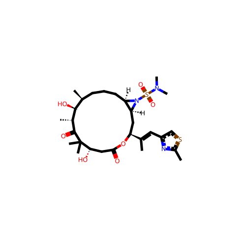 CC(=Cc1csc(C)n1)[C@@H]1C[C@H]2[C@@H](CCC[C@H](C)[C@H](O)[C@@H](C)C(=O)C(C)(C)[C@@H](O)CC(=O)O1)N2S(=O)(=O)N(C)C